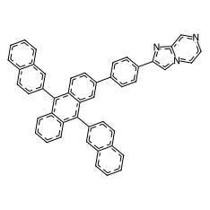 c1ccc2cc(-c3c4ccccc4c(-c4ccc5ccccc5c4)c4cc(-c5ccc(-c6cn7ccncc7n6)cc5)ccc34)ccc2c1